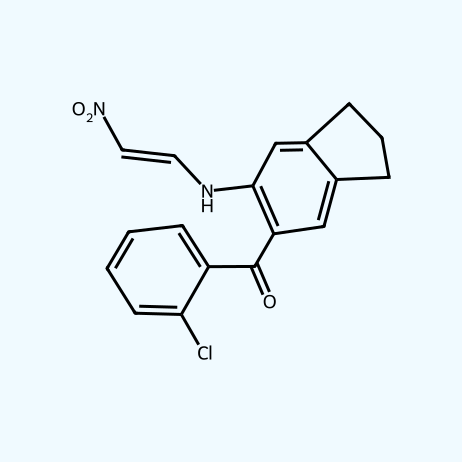 O=C(c1ccccc1Cl)c1cc2c(cc1NC=C[N+](=O)[O-])CCC2